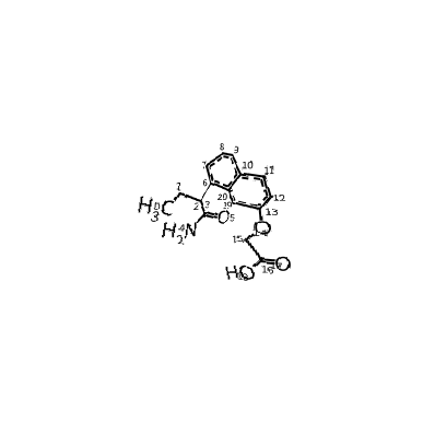 CCC(C(N)=O)c1cccc2ccc(OCC(=O)O)cc12